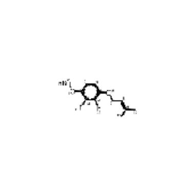 CCCCOc1ccc(OCC=C(C)C)c(F)c1F